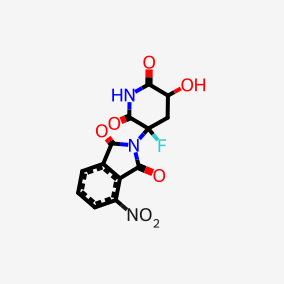 O=C1NC(=O)C(F)(N2C(=O)c3cccc([N+](=O)[O-])c3C2=O)CC1O